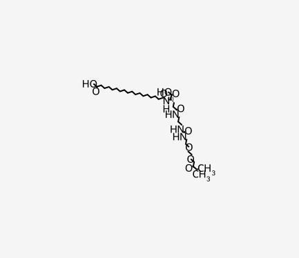 CC(C)C(=O)COCCOCCNC(=O)NCCCNC(=O)CC[C@H](NC(=O)CCCCCCCCCCCCCCCCC(=O)O)C(=O)O